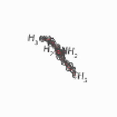 CCCCCOc1ccc(OC(=O)/C=C/c2ccc(OCCCCOC(=O)C(Cc3ccc(N)cc3)(Cc3ccc(N)cc3)C(=O)OCCCCOc3ccc(/C=C/C(=O)Oc4ccc(OCCCCC)cc4)cc3)cc2)cc1